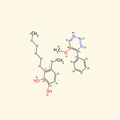 CCCCCCc1c(CC)ccc(O)c1O.COc1cnnnc1-c1ccccc1